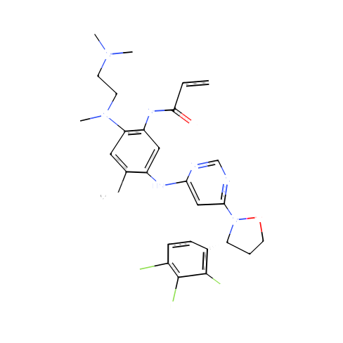 C=CC(=O)Nc1cc(Nc2cc(N3OCC[C@@H]3c3ccc(F)c(F)c3F)ncn2)c(OC)cc1N(C)CCN(C)C